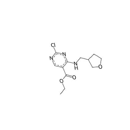 CCOC(=O)c1cnc(Cl)nc1NCC1CCOC1